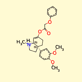 COc1ccc([C@@]23CCC(OC(=O)COc4ccccc4)=C[C@@H]2N(C)CC3)cc1OC